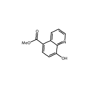 COC(=O)c1ccc(O)c2ncccc12